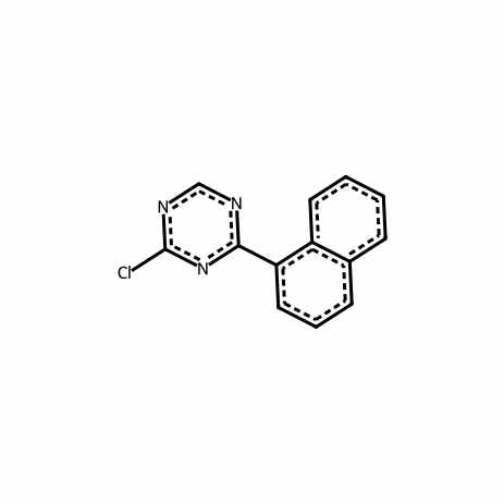 Clc1ncnc(-c2cccc3ccccc23)n1